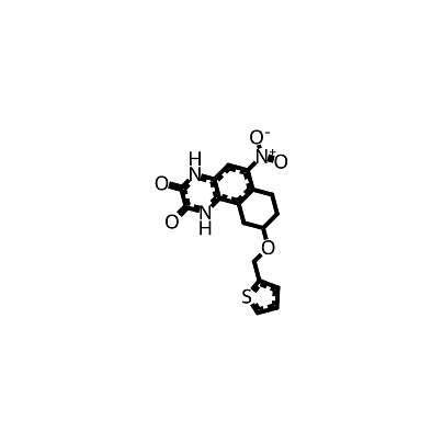 O=c1[nH]c2cc([N+](=O)[O-])c3c(c2[nH]c1=O)CC(OCc1cccs1)CC3